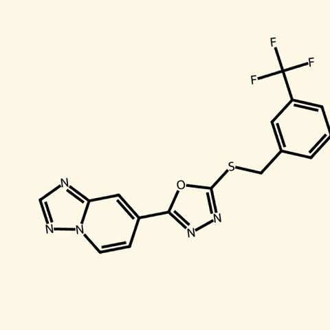 FC(F)(F)c1cccc(CSc2nnc(-c3ccn4ncnc4c3)o2)c1